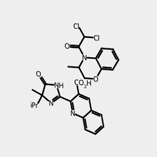 CC(C)C1(C)N=C(c2nc3ccccc3cc2C(=O)O)NC1=O.CC1COc2ccccc2N1C(=O)C(Cl)Cl